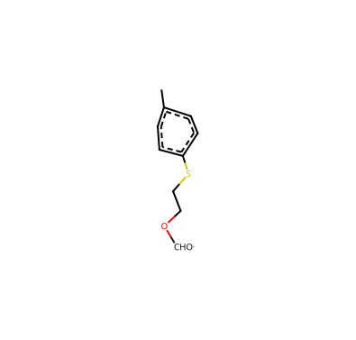 Cc1ccc(SCCO[C]=O)cc1